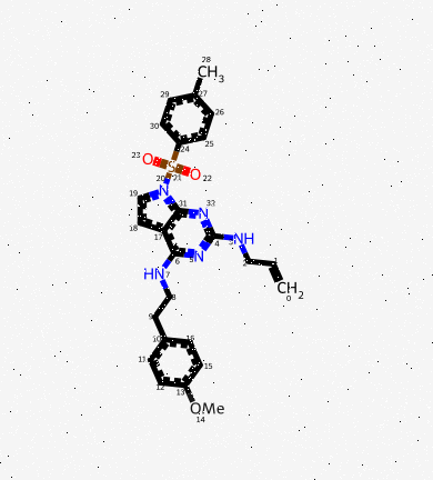 C=CCNc1nc(NCCc2ccc(OC)cc2)c2ccn(S(=O)(=O)c3ccc(C)cc3)c2n1